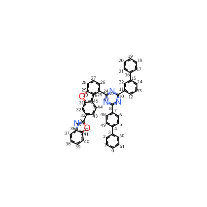 c1ccc(-c2ccc(-c3nc(-c4cccc(-c5ccccc5)c4)nc(-c4cccc5oc6cc(-c7nc8ccccc8o7)ccc6c45)n3)cc2)cc1